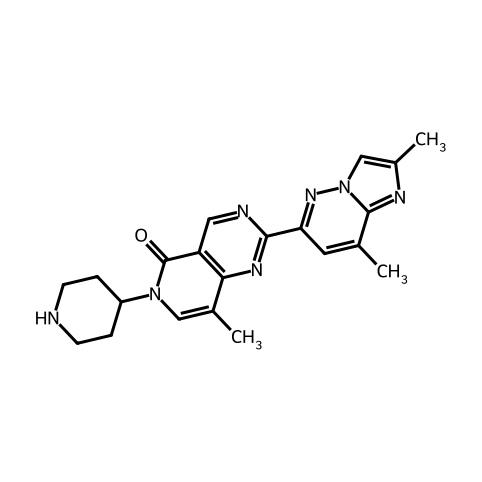 Cc1cn2nc(-c3ncc4c(=O)n(C5CCNCC5)cc(C)c4n3)cc(C)c2n1